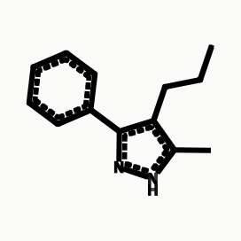 CCCc1c(-c2ccccc2)n[nH]c1C